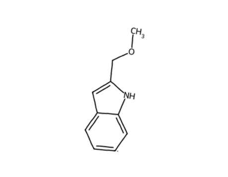 COCc1cc2cc[c]cc2[nH]1